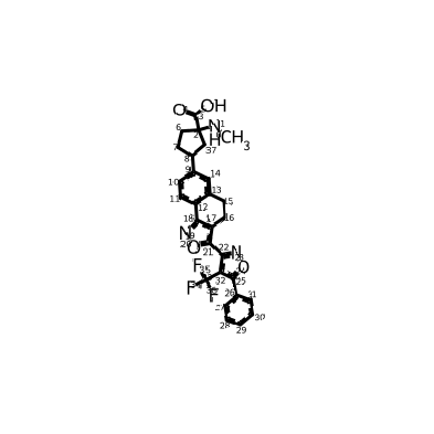 CNC1(C(=O)O)CCC(c2ccc3c(c2)CCc2c-3noc2-c2noc(-c3ccccc3)c2C(F)(F)F)C1